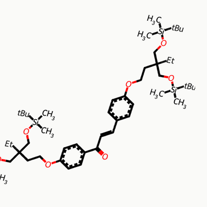 CCC(CCOc1ccc(/C=C/C(=O)c2ccc(OCCC(CC)(CO[Si](C)(C)C(C)(C)C)CO[Si](C)(C)C(C)(C)C)cc2)cc1)(CO[Si](C)(C)C(C)(C)C)CO[Si](C)(C)C(C)(C)C